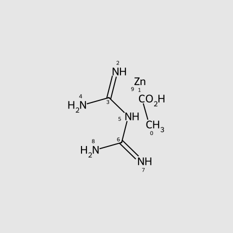 CC(=O)O.N=C(N)NC(=N)N.[Zn]